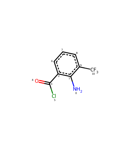 Nc1c(C(=O)Cl)cccc1C(F)(F)F